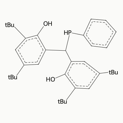 CC(C)(C)c1cc(C(Pc2ccccc2)c2cc(C(C)(C)C)cc(C(C)(C)C)c2O)c(O)c(C(C)(C)C)c1